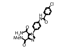 CNC(=O)c1ncn(-c2ccc(NC(=O)c3ccc(Cl)cc3)cc2)c1C(N)=O